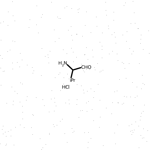 CC(C)C(N)C=O.Cl